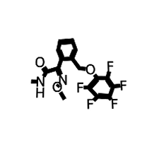 CNC(=O)/C(=N\OC)c1ccccc1COc1c(F)c(F)c(F)c(F)c1F